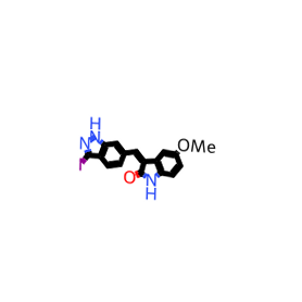 COc1ccc2c(c1)C(=Cc1ccc3c(I)n[nH]c3c1)C(=O)N2